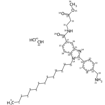 CCCCCCCCCCCCCCn1c(-c2ccc(CN)cc2)nc2cc(C(=O)NCCC(=O)OC)ccc21.Cl.Cl